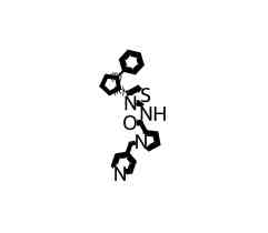 O=C(Nc1nc([C@@H]2CCC[C@H]2c2ccccc2)cs1)c1cccn1Cc1ccncc1